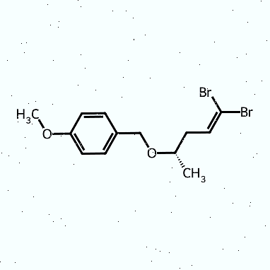 COc1ccc(CO[C@@H](C)CC=C(Br)Br)cc1